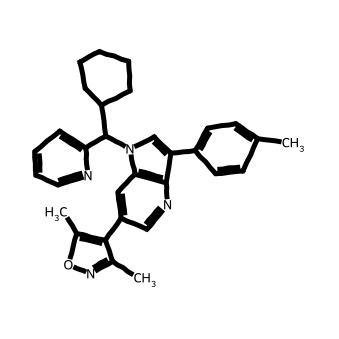 Cc1ccc(-c2cn(C(c3ccccn3)C3CCCCC3)c3cc(-c4c(C)noc4C)cnc23)cc1